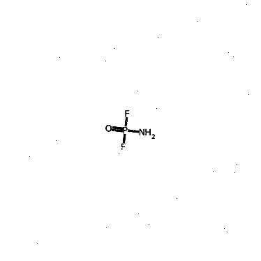 NP(=O)(F)F